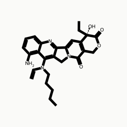 C=CN(CCCCC)c1c2c(nc3cccc(N)c13)-c1cc3c(c(=O)n1C2)COC(=O)[C@]3(O)CC